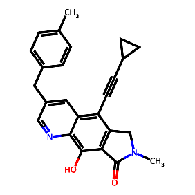 Cc1ccc(Cc2cnc3c(O)c4c(c(C#CC5CC5)c3c2)CN(C)C4=O)cc1